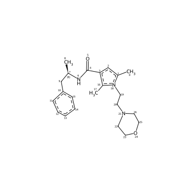 Cc1cc(C(=O)N[C@H](C)Cc2ccccc2)c(C)n1CCN1CCOCC1